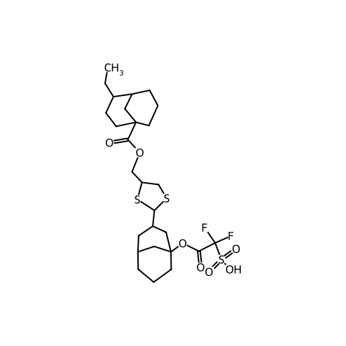 CCC1CCC2(C(=O)OCC3CSC(C4CC5CCCC(OC(=O)C(F)(F)S(=O)(=O)O)(C5)C4)S3)CCCC1C2